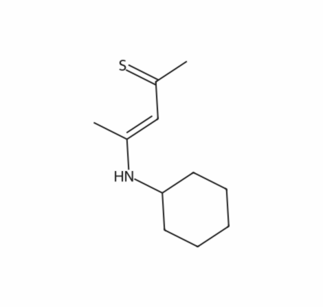 CC(=S)C=C(C)NC1CCCCC1